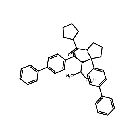 CC([C](C(=O)c1ccc(-c2ccccc2)cc1)[C@]1(c2ccc(-c3ccccc3)cc2)CCCN1C(=O)C1CCCC1)C(=O)O